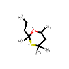 CCCC1(C)OC(C)CC(C)(C)S1